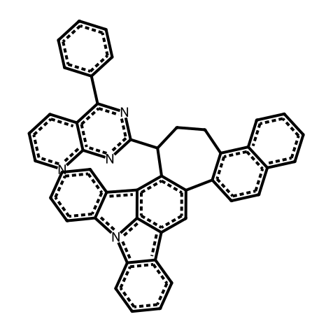 c1ccc(-c2nc(C3CCc4c(ccc5ccccc45)-c4cc5c6ccccc6n6c7ccccc7c(c43)c56)nc3ncccc23)cc1